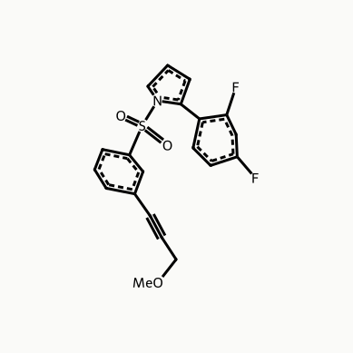 COCC#Cc1cccc(S(=O)(=O)n2cccc2-c2ccc(F)cc2F)c1